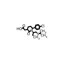 CCC(CSC(C)C)N1C(=O)C(CC(=O)O)CCC1c1ccc(Cl)cc1